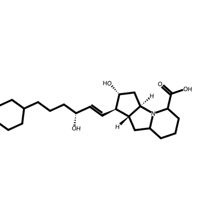 O=C(O)C1CCCC2C[C@@H]3[C@@H](/C=C/[C@H](O)CCCC4CCCCC4)[C@H](O)C[C@H]3N21